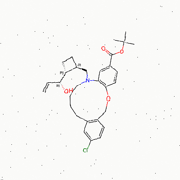 C=C[C@@H](O)[C@@H]1CC[C@H]1CN1CCCCc2cc(Cl)ccc2COc2ccc(C(=O)OC(C)(C)C)cc21